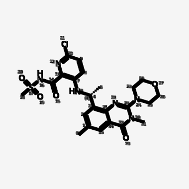 Cc1cc([C@@H](C)Nc2ccc(Cl)nc2C(=O)NS(C)(=O)=O)c2nc(N3CCOCC3)n(C)c(=O)c2c1